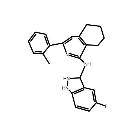 Cc1ccccc1-c1cc2c(c(NC3NNc4ccc(F)cc43)n1)CCCC2